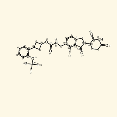 O=C1CC[C@@H](N2Cc3ccc(CNC(=O)OC4CC(c5ccccc5OC(F)(F)F)C4)c(F)c3C2=O)C(=O)N1